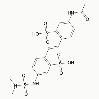 CC(=O)Nc1ccc(C=Cc2ccc(NS(=O)(=O)N(C)C)cc2S(=O)(=O)O)c(S(=O)(=O)O)c1